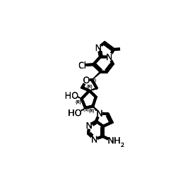 Cc1cnc2c(Cl)c([C@H]3C[C@@]4(CO3)C[C@@H](n3ccc5c(N)ncnc53)[C@H](O)[C@@H]4O)ccn12